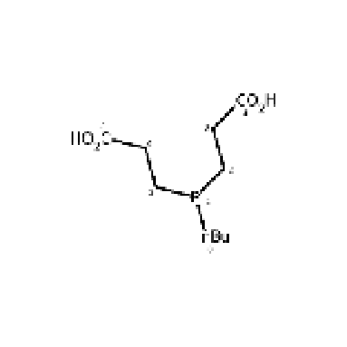 CCCCP(CCC(=O)O)CCC(=O)O